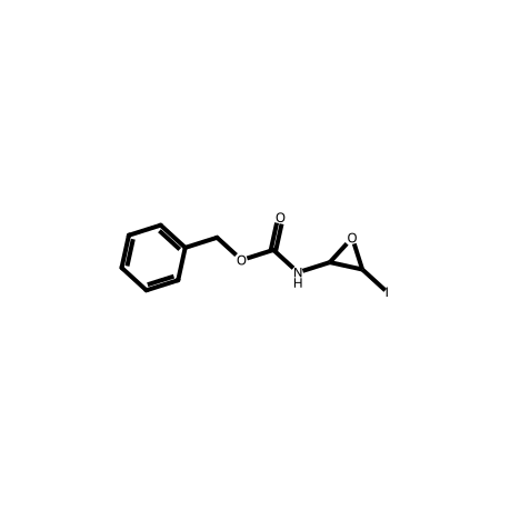 O=C(NC1OC1I)OCc1ccccc1